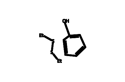 CCSSCC.Oc1ccccc1